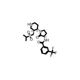 CC(C)S(=O)(=O)C[C@H]1CNCC[C@@H]1N1CC[C@H](NC(=O)c2cccc(C(F)(F)F)c2)C1=O